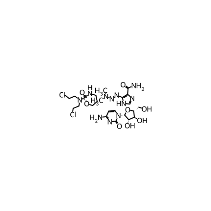 CN(C)/N=N/c1[nH]cnc1C(N)=O.Nc1ccn([C@@H]2O[C@H](CO)[C@@H](O)[C@@H]2O)c(=O)n1.O=P1(N(CCCl)CCCl)NCCCO1